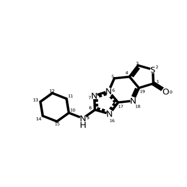 O=C1SC=C2Cn3nc(NC4CCCCC4)nc3N=C12